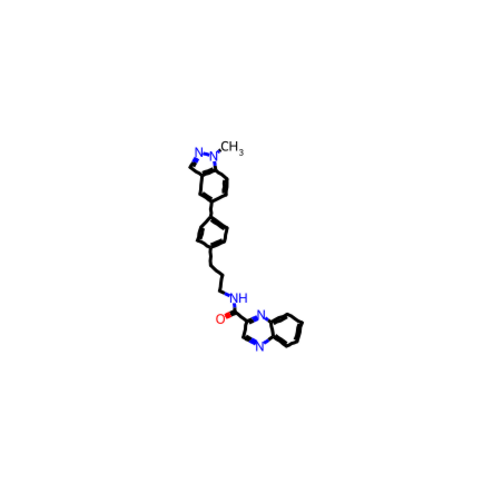 Cn1ncc2cc(-c3ccc(CCCNC(=O)c4cnc5ccccc5n4)cc3)ccc21